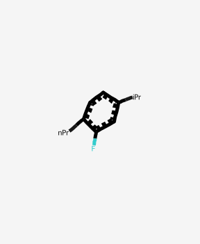 CCCc1ccc(C(C)C)cc1F